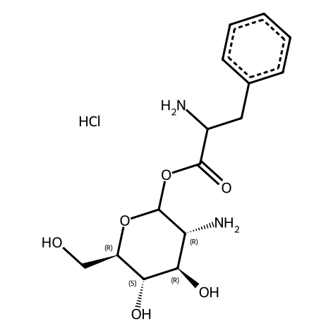 Cl.NC(Cc1ccccc1)C(=O)OC1O[C@H](CO)[C@@H](O)[C@H](O)[C@H]1N